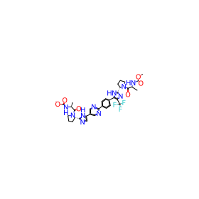 COC(=O)NC(C)C(=O)N1CCC[C@H]1c1nc(C(F)(F)F)c(-c2ccc(-c3ncc(-c4cnc([C@@H]5CCCN5C(=O)[C@H](C)NC(=O)OC)[nH]4)cn3)cc2)[nH]1